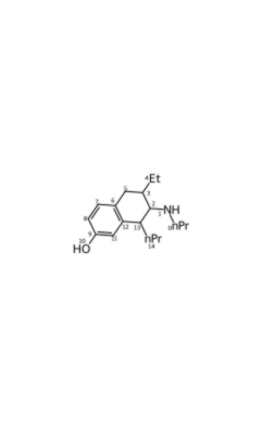 CCCNC1C(CC)Cc2ccc(O)cc2C1CCC